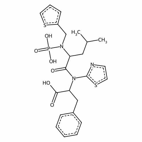 CC(C)CC(C(=O)N(c1nccs1)C(Cc1ccccc1)C(=O)O)N(Cc1cccs1)P(=O)(O)O